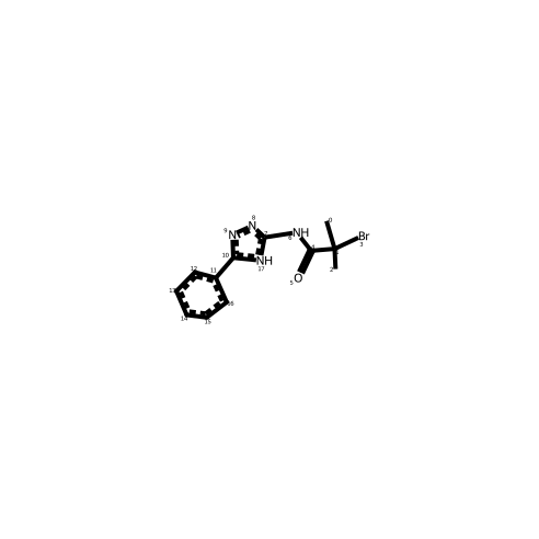 CC(C)(Br)C(=O)Nc1nnc(-c2ccccc2)[nH]1